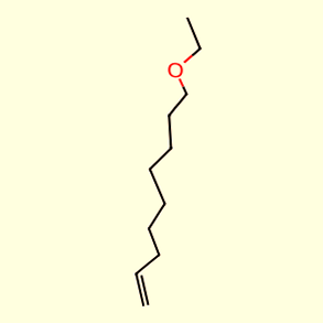 C=CCCCCCCCOCC